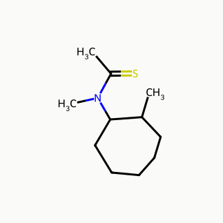 CC(=S)N(C)C1CCCCCC1C